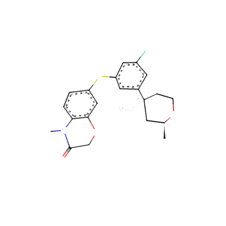 CO[C@]1(c2cc(F)cc(Sc3ccc4c(c3)OCC(=O)N4C)c2)CCO[C@@H](C)C1